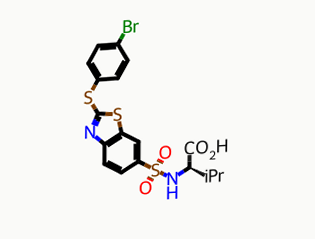 CC(C)[C@@H](NS(=O)(=O)c1ccc2nc(Sc3ccc(Br)cc3)sc2c1)C(=O)O